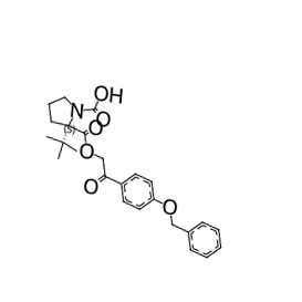 CC(C)(C)[C@]1(C(=O)OCC(=O)c2ccc(OCc3ccccc3)cc2)CCCN1C(=O)O